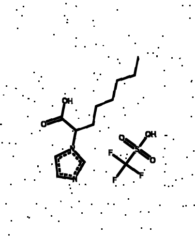 CCCCCCC(C(=O)O)n1ccnc1.O=S(=O)(O)C(F)(F)F